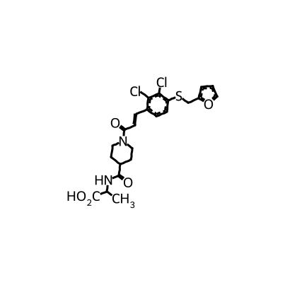 CC(NC(=O)C1CCN(C(=O)C=Cc2ccc(SCc3ccco3)c(Cl)c2Cl)CC1)C(=O)O